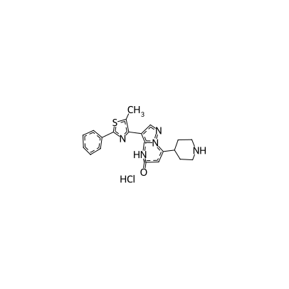 Cc1sc(-c2ccccc2)nc1-c1cnn2c(C3CCNCC3)cc(=O)[nH]c12.Cl